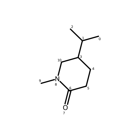 CC(C)C1CCC(=O)N(C)C1